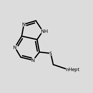 CCCCCCCCSc1ncnc2nc[nH]c12